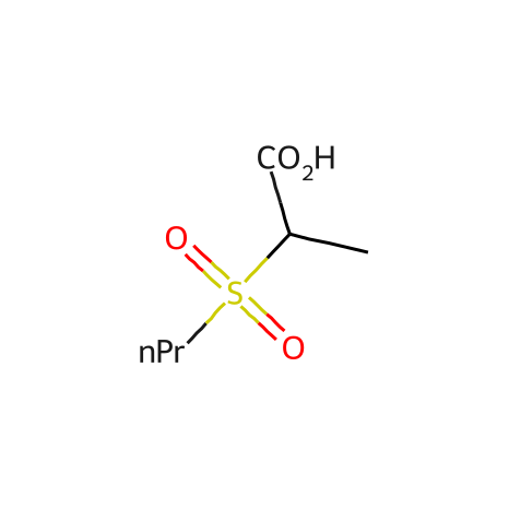 CCCS(=O)(=O)C(C)C(=O)O